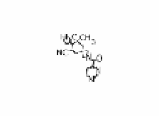 CC1(C)CC2(C=C(C#N)C1=O)CN(C(=O)c1ccncn1)C2